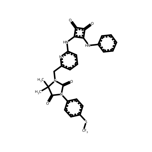 CC1(C)C(=O)N(c2ccc(SC(F)(F)F)cc2)C(=O)N1Cc1cccc(Nc2c(Nc3ccccc3)c(=O)c2=O)n1